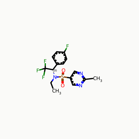 CCN([C@@H](c1ccc(F)cc1)C(F)(F)F)S(=O)(=O)c1cnc(C)nc1